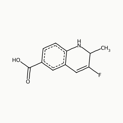 CC1Nc2ccc(C(=O)O)cc2C=C1F